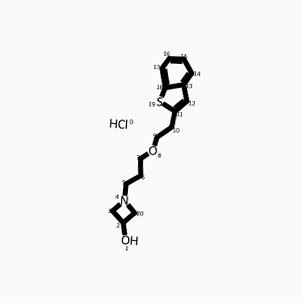 Cl.OC1CN(CCCOCCc2cc3ccccc3s2)C1